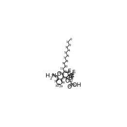 CCCCCCCCCCCCC1=CC(Br)(C(F)(F)F)C(OCC(=O)O)C(c2ccccc2C(N)=O)=C1